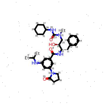 CCC(CC)Nc1cc(C(=O)N[C@@H](Cc2ccccc2)[C@@H](O)CN(CC)C(=O)NC2CCCCC2)cc(N2CCCC2=O)c1